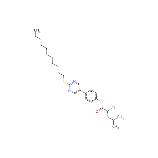 CCCCCCCCCCCSc1ncc(-c2ccc(OC(=O)C(Cl)CC(C)C)cc2)cn1